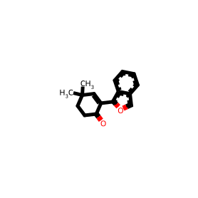 CC1(C)C=C(c2occ3ccccc23)C(=O)CC1